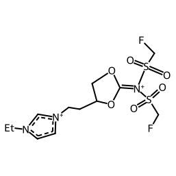 CCn1cc[n+](CCC2COC(=[N+](S(=O)(=O)CF)S(=O)(=O)CF)O2)c1